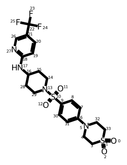 O=S1(=O)CCN(c2ccc(S(=O)(=O)N3CCC(Nc4ccc(C(F)(F)F)cn4)CC3)cc2)CC1